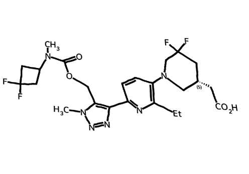 CCc1nc(-c2nnn(C)c2COC(=O)N(C)C2CC(F)(F)C2)ccc1N1C[C@@H](CC(=O)O)CC(F)(F)C1